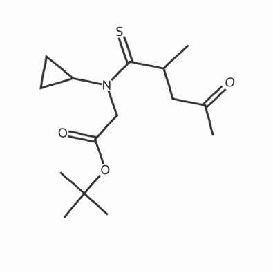 CC(=O)CC(C)C(=S)N(CC(=O)OC(C)(C)C)C1CC1